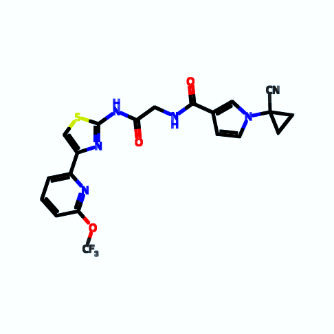 N#CC1(n2ccc(C(=O)NCC(=O)Nc3nc(-c4cccc(OC(F)(F)F)n4)cs3)c2)CC1